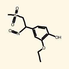 CCOc1cc(C(CS(C)(=O)=O)N=O)ccc1O